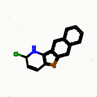 ClC1C=Cc2sc3cc4ccccc4cc3c2N1